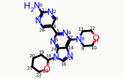 Nc1ncc(-c2nc(N3CCOCC3)c3ncn(C4CCCCO4)c3n2)cn1